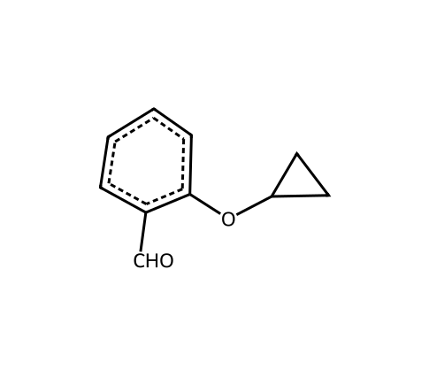 O=Cc1ccccc1OC1CC1